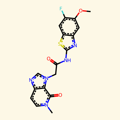 COc1cc2nc(NC(=O)Cn3cnc4ccn(C)c(=O)c43)sc2cc1F